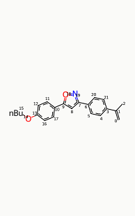 C=C(C)c1ccc(-c2cc(-c3ccc(OCCCC)cc3)on2)cc1